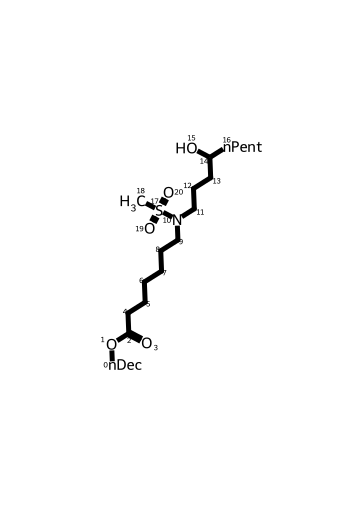 CCCCCCCCCCOC(=O)CCCCCCN(CCCC(O)CCCCC)S(C)(=O)=O